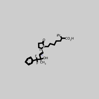 CC(C)C(CCCCCN1C(=O)CC[C@@H]1/C=C/[C@@](C)(O)C(F)(F)c1ccccc1)C(=O)O